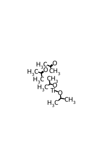 CC(C)=O.CC(C)=O.CC(C)[O][Ti][O]C(C)C